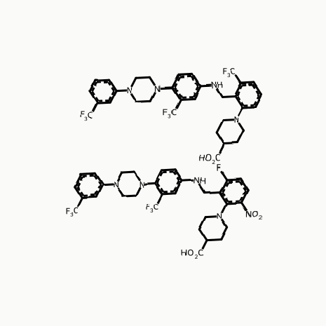 O=C(O)C1CCN(c2c([N+](=O)[O-])ccc(F)c2CNc2ccc(N3CCN(c4cccc(C(F)(F)F)c4)CC3)c(C(F)(F)F)c2)CC1.O=C(O)C1CCN(c2cccc(C(F)(F)F)c2CNc2ccc(N3CCN(c4cccc(C(F)(F)F)c4)CC3)c(C(F)(F)F)c2)CC1